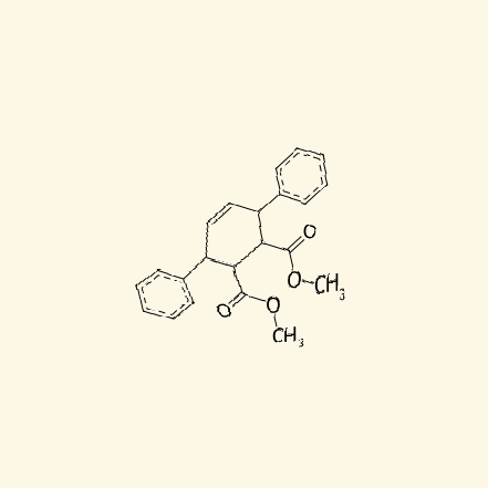 COC(=O)C1C(c2ccccc2)C=CC(c2ccccc2)C1C(=O)OC